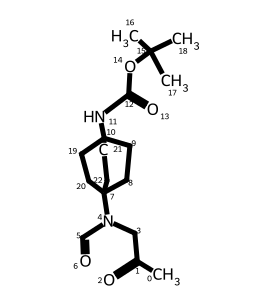 CC(=O)CN(C=O)C12CCC(NC(=O)OC(C)(C)C)(CC1)CC2